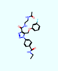 CCNC(=O)c1ccc(-n2nnc(C(=O)NCCNC(C)=O)c2COc2cccc(F)c2)cc1